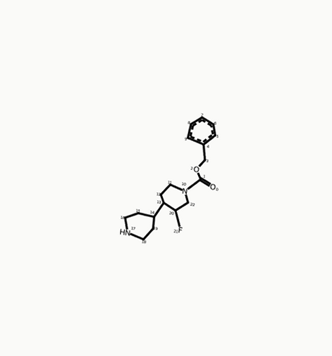 O=C(OCc1ccccc1)N1CCC(C2CCNCC2)C(F)C1